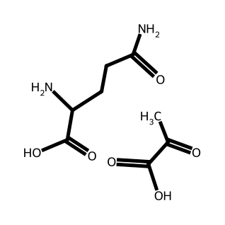 CC(=O)C(=O)O.NC(=O)CCC(N)C(=O)O